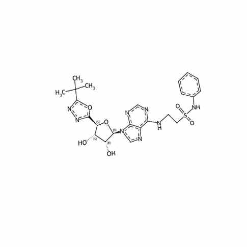 CC(C)(C)c1nnc([C@H]2O[C@@H](n3cnc4c(NCCS(=O)(=O)Nc5ccccc5)ncnc43)[C@H](O)[C@@H]2O)o1